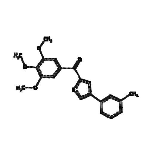 COc1cc(C(=O)c2cc(-c3cccc(C)c3)cs2)cc(OC)c1OC